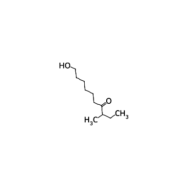 CCC(C)C(=O)CCCCCCO